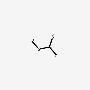 [CH2]C([S])SC